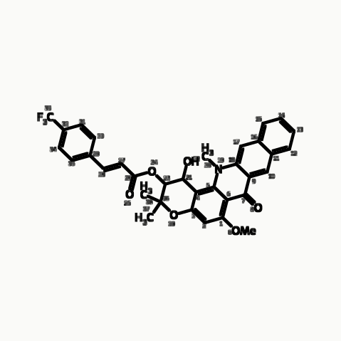 COc1cc2c(c3c1c(=O)c1cc4ccccc4cc1n3C)C(O)C(OC(=O)/C=C/c1ccc(C(F)(F)F)cc1)C(C)(C)O2